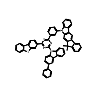 CC1(C)c2ccccc2-c2cc3c4ccccc4n(-c4cccc(-c5nc(-c6ccc7c(c6)oc6ccccc67)nc(-n6c7ccccc7c7cc(-c8ccccc8)ccc76)n5)c4)c3cc21